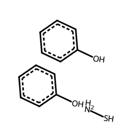 NS.Oc1ccccc1.Oc1ccccc1